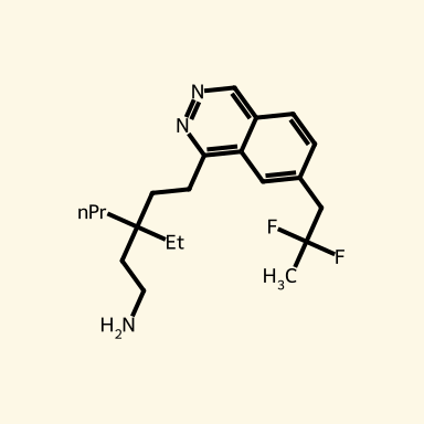 CCCC(CC)(CCN)CCc1nncc2ccc(CC(C)(F)F)cc12